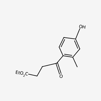 CCOC(=O)CCC(=O)c1ccc(O)cc1C